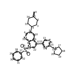 C=C1CCC(c2cnc3c(c2)c(-c2csc(N4CCCC4)n2)cn3S(=O)(=O)c2ccccc2)CC1